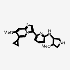 COc1cc2ncc(-c3cccc(NC4CNCC4OC)n3)n2cc1C1CC1